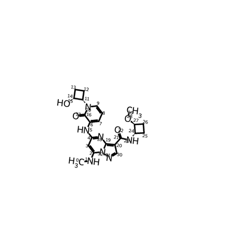 CNc1cc(Nc2cccn([C@H]3CC[C@H]3O)c2=O)nc2c(C(=O)N[C@H]3CC[C@@H]3OC)cnn12